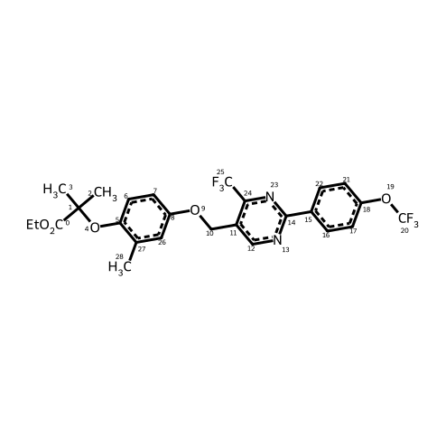 CCOC(=O)C(C)(C)Oc1ccc(OCc2cnc(-c3ccc(OC(F)(F)F)cc3)nc2C(F)(F)F)cc1C